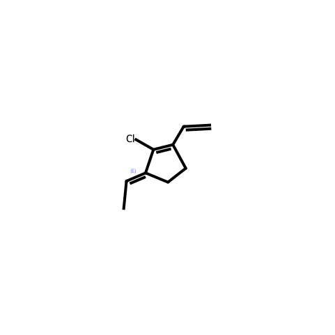 C=CC1=C(Cl)/C(=C/C)CC1